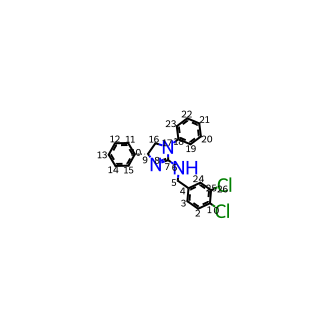 Clc1ccc(CNC2=N[C@H](c3ccccc3)CN2c2ccccc2)cc1Cl